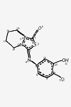 O=c1s/c(=N\c2ccc(Cl)c(O)c2)n2n1CCCC2